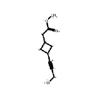 COC(=O)CC1CC(C#CCO)C1